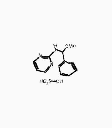 COC(Nc1ncccn1)c1ccccc1.O=S(=O)(O)O